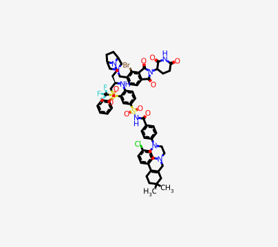 CC1(C)CCC(c2ccc(Cl)cc2)=C(CN2CCN(c3ccc(C(=O)NS(=O)(=O)c4ccc(N[C@H](CCN5C6CCC5CN(Cc5ccc7c(c5Br)C(=O)N(C5CCC(=O)NC5=O)C7=O)C6)CSc5ccccc5)c(S(=O)(=O)C(F)(F)F)c4)cc3)CC2)C1